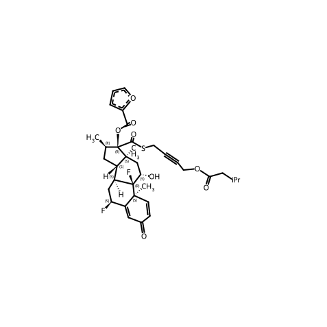 CC(C)CC(=O)OCC#CCSC(=O)[C@@]1(OC(=O)c2ccco2)[C@H](C)C[C@H]2[C@@H]3C[C@H](F)C4=CC(=O)C=C[C@]4(C)[C@@]3(F)[C@@H](O)C[C@@]21C